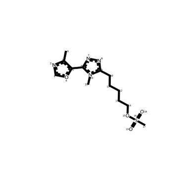 Cc1ncoc1-c1nnc(CCCCCOS(C)(=O)=O)n1C